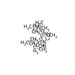 CCC(C)(C)c1ccc(OC(=O)Nc2ccc(C)c(NC(=O)Oc3ccc(C(C)(C)CC)cc3C(C)(C)CC)c2)c(C(C)(C)CC)c1